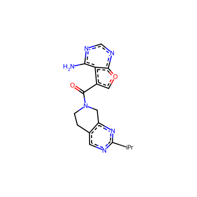 CC(C)c1ncc2c(n1)CN(C(=O)c1coc3ncnc(N)c13)CC2